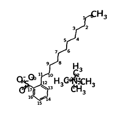 CCCCCCCCCCCCc1ccccc1S(=O)(=O)[O-].C[N+](C)(C)C